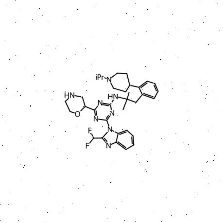 CC(C)N1CCC(c2ccccc2CC(C)(C)Nc2nc(C3CNCCO3)nc(-n3c(C(F)F)nc4ccccc43)n2)CC1